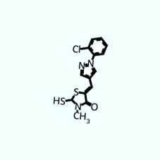 CN1C(=O)/C(=C/c2cnn(-c3ccccc3Cl)c2)SC1S